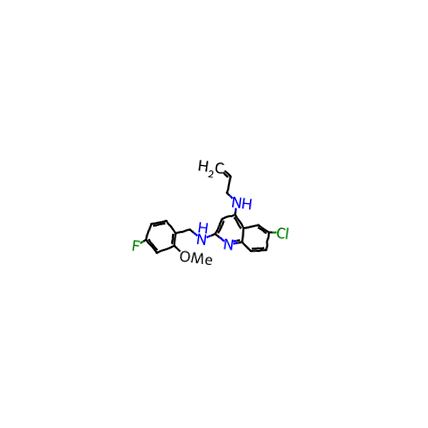 C=CCNc1cc(NCc2ccc(F)cc2OC)nc2ccc(Cl)cc12